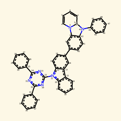 C1=CB2N(C=C1)c1cc(-c3ccc4c(c3)c3ccccc3n4-c3nc(-c4ccccc4)nc(-c4ccccc4)n3)ccc1N2c1ccccc1